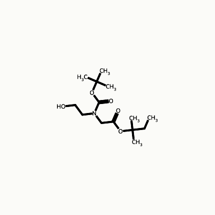 CCC(C)(C)OC(=O)CN(CCO)C(=O)OC(C)(C)C